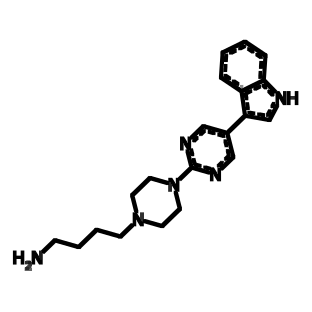 NCCCCN1CCN(c2ncc(-c3c[nH]c4ccccc34)cn2)CC1